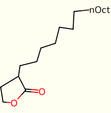 CCCCCCCCCCCCCCCC1CCOC1=O